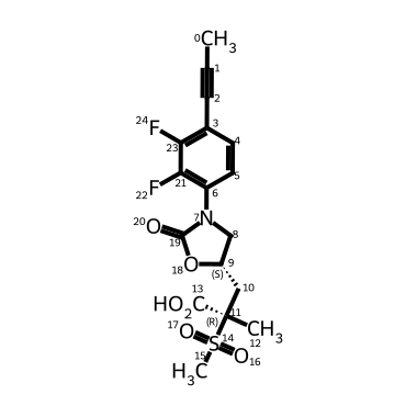 CC#Cc1ccc(N2C[C@H](C[C@](C)(C(=O)O)S(C)(=O)=O)OC2=O)c(F)c1F